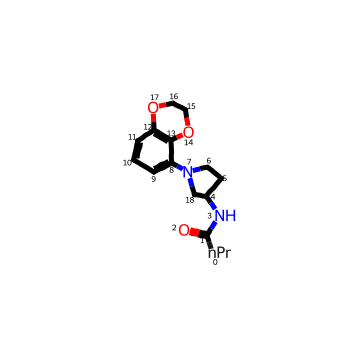 CCCC(=O)NC1CCN(c2cccc3c2OCCO3)C1